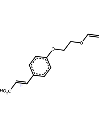 C=COCCOc1ccc(/C=C/C(=O)O)cc1